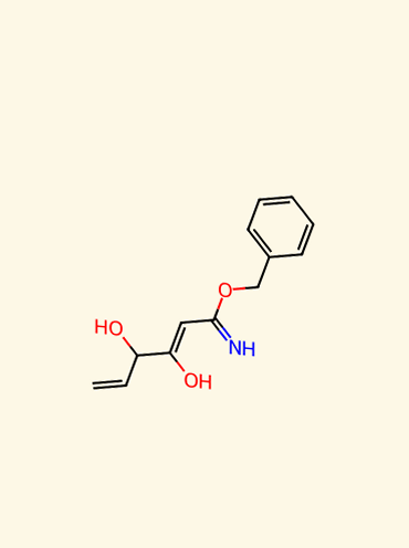 C=CC(O)/C(O)=C/C(=N)OCc1ccccc1